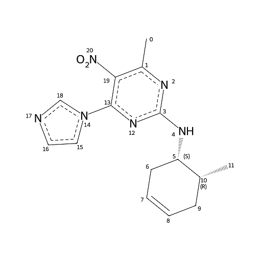 Cc1nc(N[C@H]2CC=CC[C@H]2C)nc(-n2ccnc2)c1[N+](=O)[O-]